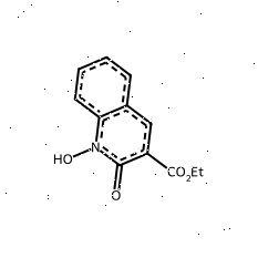 CCOC(=O)c1cc2ccccc2n(O)c1=O